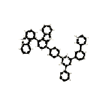 c1ccc(-c2cc(-c3cccc(-c4cccnc4)c3)nc(-c3ccc(-c4ccc(-c5cccc6oc7ccccc7c56)c5c4oc4ccccc45)cc3)n2)cc1